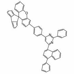 c1ccc(-c2nc(-c3ccc(-c4ccc5c(c4)Oc4ccccc4C54c5ccccc5-c5ccccc54)cc3)cc(-c3ccc(-c4ccccc4)c4ccccc34)n2)cc1